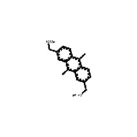 COCc1ccc2c(C)c3ccc(COC)cc3c(C)c2c1